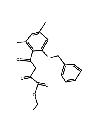 CCOC(=O)C(=O)CC(=O)c1c(C)cc(C)cc1OCc1ccccc1